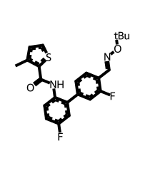 Cc1ccsc1C(=O)Nc1ccc(F)cc1-c1ccc(C=NOC(C)(C)C)c(F)c1